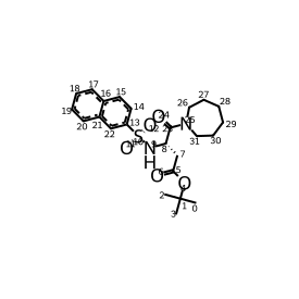 CC(C)(C)OC(=O)C[C@H](NS(=O)(=O)c1ccc2ccccc2c1)C(=O)N1CCCCCC1